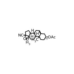 CC(=O)O[C@H]1CC[C@@]2(C)C(=CC[C@@H]3[C@@H]2CC[C@@]2(C)[C@H]3CC[C@]2(O)C#N)C1